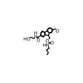 CCCCNC(=O)OCC1c2cc(C=O)ccc2-c2ccc(C(=O)NCCO)cc21